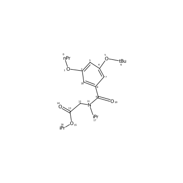 CCCOc1cc(OC(C)(C)C)cc(C(=O)N(CC(=O)OC(C)C)C(C)C)c1